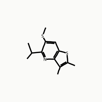 CSc1cc2sc(C)c(C)c2nc1C(C)C